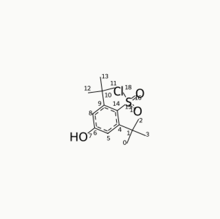 CC(C)(C)c1cc(O)cc(C(C)(C)C)c1S(=O)(=O)Cl